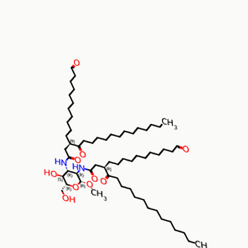 CCCCCCCCCCCCCC(=O)[C@H](CCCCCCCCCCC=O)CC(=O)N[C@H]1[C@H](OC)O[C@H](CO)[C@@H](O)[C@@H]1NC(=O)C[C@@H](CCCCCCCCCCC=O)C(=O)CCCCCCCCCCCCC